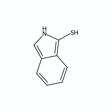 Sc1[nH]cc2ccccc12